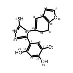 CCc1cc(-c2nnc(S)n2C2=Cc3ccoc3CC2)c(O)cc1O